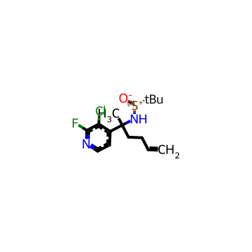 C=CCCC(C)(N[S@@+]([O-])C(C)(C)C)c1ccnc(F)c1Cl